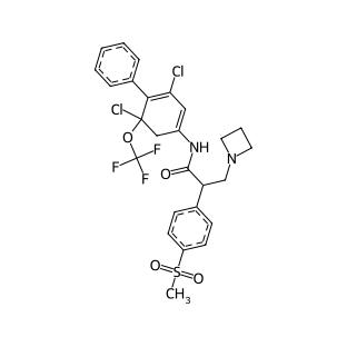 CS(=O)(=O)c1ccc(C(CN2CCC2)C(=O)NC2=CC(Cl)=C(c3ccccc3)C(Cl)(OC(F)(F)F)C2)cc1